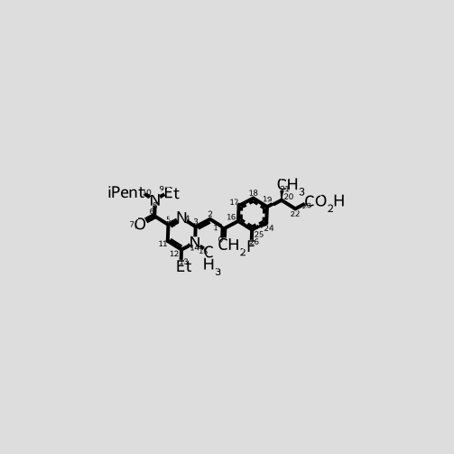 C=C(/C=C1/N=C(C(=O)N(CC)C(C)CCC)C=C(CC)N1C)c1ccc([C@@H](C)CC(=O)O)cc1F